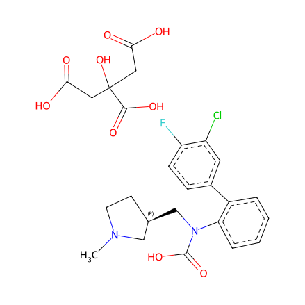 CN1CC[C@@H](CN(C(=O)O)c2ccccc2-c2ccc(F)c(Cl)c2)C1.O=C(O)CC(O)(CC(=O)O)C(=O)O